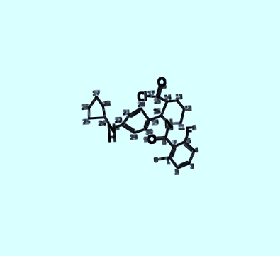 Cc1cccc(F)c1C(=O)N1CCCC(C(=O)Cl)C1c1ccc(NC2CCCC2)cc1